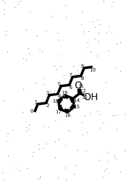 CCCCCCCCCCC.O=C(O)c1ccccc1